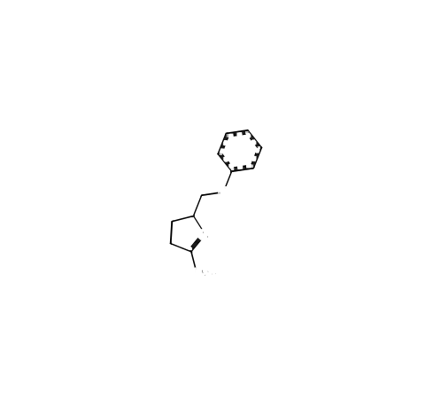 CSC1=NC(COc2ccccc2)CC1